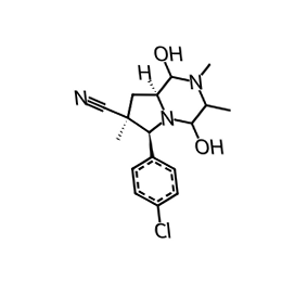 CC1C(O)N2[C@@H](c3ccc(Cl)cc3)[C@@](C)(C#N)C[C@H]2C(O)N1C